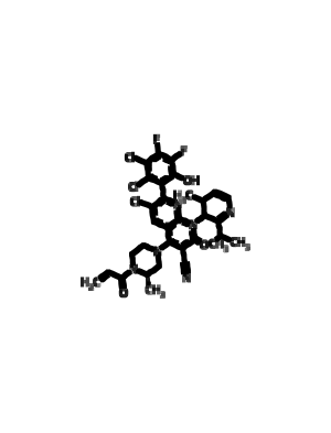 C=CC(=O)N1CCN(c2c(C#N)c(=O)n(C3C(C(C)C)=NC=CC3C)c3nc(-c4c(O)c(F)c(F)c(Cl)c4Cl)c(Cl)cc23)C[C@H]1C